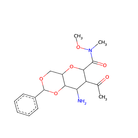 CON(C)C(=O)C1OC2COC(c3ccccc3)OC2C(N)C1C(C)=O